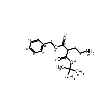 CC(C)(C)OC(=O)C(CCN)C(=O)OCc1ccccc1